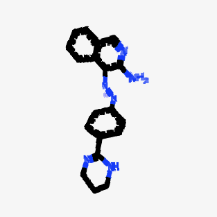 Nc1ncc2ccccc2c1/N=N/c1ccc(C2=NCCCN2)cc1